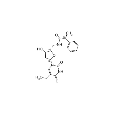 CCc1cn([C@@H]2CC(O)[C@H](CNC(=O)[C@@H](C)c3ccccc3)O2)c(=O)[nH]c1=O